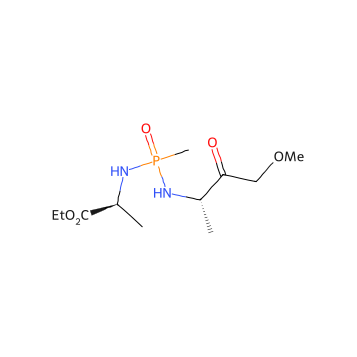 CCOC(=O)[C@H](C)NP(C)(=O)N[C@@H](C)C(=O)COC